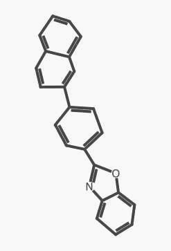 c1ccc2cc(-c3ccc(-c4nc5ccccc5o4)cc3)ccc2c1